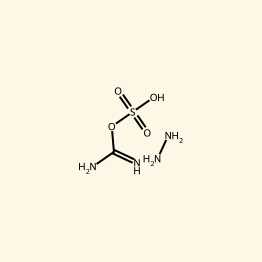 N=C(N)OS(=O)(=O)O.NN